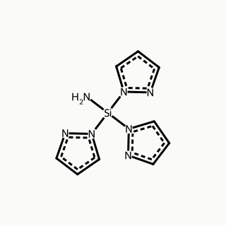 N[Si](n1cccn1)(n1cccn1)n1cccn1